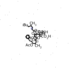 C=C(CC[C@]12O[C@H](C(=O)O)[C@@](O)(C(=O)O)[C@](C(=O)O)(O1)[C@H](OC(=O)/C=C/C(C)CC(C)CC)[C@H]2O)C(OC(C)=O)C(C)Cc1ccccc1